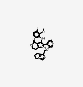 COc1c(F)cccc1Nc1c(-c2ccncc2OCc2ncn3c2CCC3)[nH]c2c1C(=O)NCC2